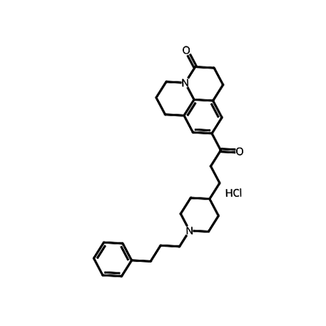 Cl.O=C(CCC1CCN(CCCc2ccccc2)CC1)c1cc2c3c(c1)CCC(=O)N3CCC2